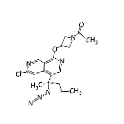 CCCC(C)(N=[N+]=[N-])c1cnc(OC2CN(C(C)=O)C2)c2cnc(Cl)cc12